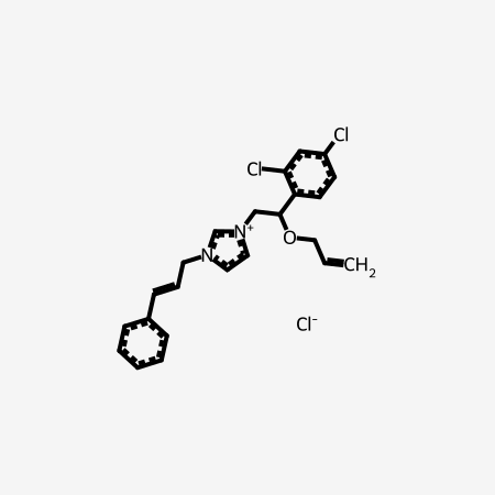 C=CCOC(C[n+]1ccn(C/C=C/c2ccccc2)c1)c1ccc(Cl)cc1Cl.[Cl-]